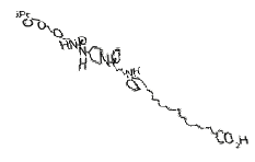 CC(C)C(=O)COCCOCCNC(=O)NC1CCN(C(=O)CCCNC(=O)CCCCCCCCCCCCCCCCC(=O)O)CC1